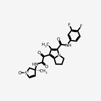 Cc1c(C(=O)C(=O)N[C@@]2(C)C=C[S@@+]([O-])C2)c2n(c1C(=O)Nc1ccc(F)c(F)c1)CCC2